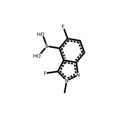 Cn1nc2ccc(F)c(B(O)O)c2c1F